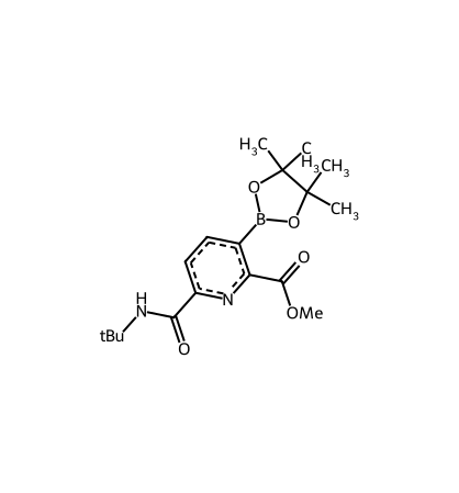 COC(=O)c1nc(C(=O)NC(C)(C)C)ccc1B1OC(C)(C)C(C)(C)O1